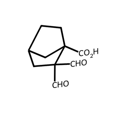 O=CC1(C=O)CC2CCC1(C(=O)O)C2